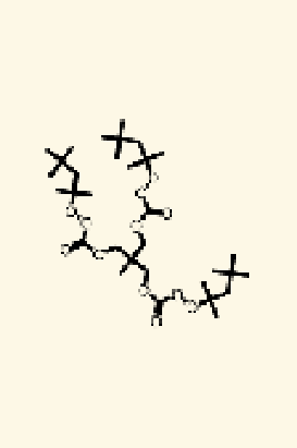 CC(C)(C)CC(C)(C)OOC(=O)OCC(C)(COC(=O)OOC(C)(C)CC(C)(C)C)COC(=O)OOC(C)(C)CC(C)(C)C